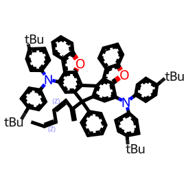 C=C(/C=C\C=C/C)C1(c2ccccc2)c2cc(N(c3ccc(C(C)(C)C)cc3)c3ccc(C(C)(C)C)cc3)c3c(oc4ccccc43)c2-c2c1cc(N(c1ccc(C(C)(C)C)cc1)c1ccc(C(C)(C)C)cc1)c1oc3ccccc3c21